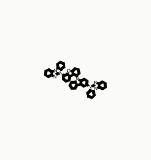 c1ccc2c(c1)nc1n(-c3ccc4c(c3)c3ccccc3n4-c3cccc4oc5c(-n6c7ccccc7n7c8ccccc8nc67)cccc5c34)c3ccccc3n21